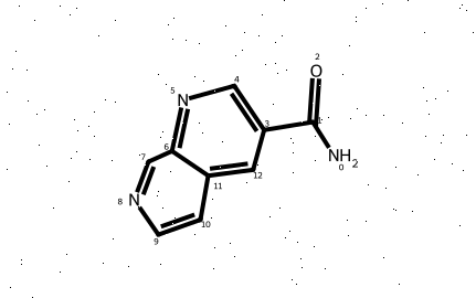 NC(=O)c1cnc2cnccc2c1